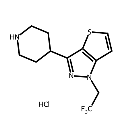 Cl.FC(F)(F)Cn1nc(C2CCNCC2)c2sccc21